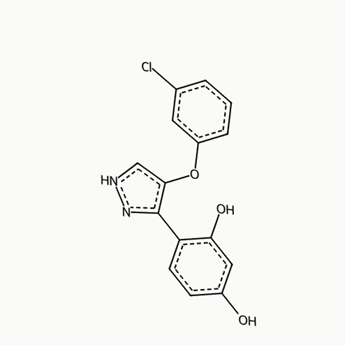 Oc1ccc(-c2n[nH]cc2Oc2cccc(Cl)c2)c(O)c1